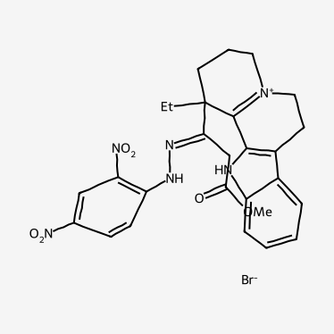 CCC1(C(CC(=O)OC)=NNc2ccc([N+](=O)[O-])cc2[N+](=O)[O-])CCC[N+]2=C1c1[nH]c3ccccc3c1CC2.[Br-]